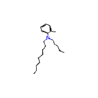 CCCCCCCCCN(CCCCC)c1ccccc1C